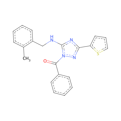 Cc1ccccc1CNc1nc(-c2cccs2)nn1C(=O)c1ccccc1